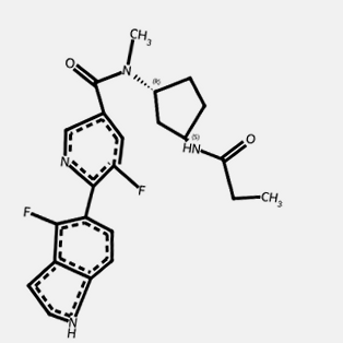 CCC(=O)N[C@H]1CC[C@@H](N(C)C(=O)c2cnc(-c3ccc4[nH]ccc4c3F)c(F)c2)C1